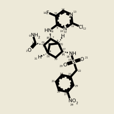 NC(=O)[C@H]1[C@H]2C[C@@H]([C@H]1Nc1nc(Cl)ncc1F)[C@H](NS(=O)(=O)Cc1cccc([N+](=O)[O-])c1)C2